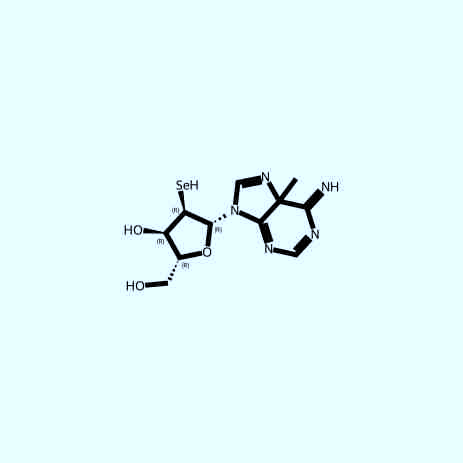 CC12N=CN([C@@H]3O[C@H](CO)[C@@H](O)[C@H]3[SeH])C1=NC=NC2=N